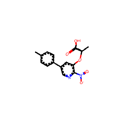 Cc1ccc(-c2cnc([N+](=O)[O-])c(OC(C)C(=O)O)c2)cc1